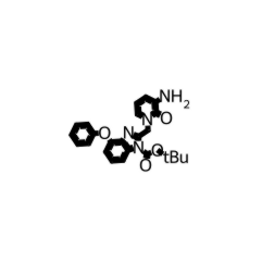 CC(C)(C)OC(=O)n1c(Cn2cccc(N)c2=O)nc2c(Oc3ccccc3)cccc21